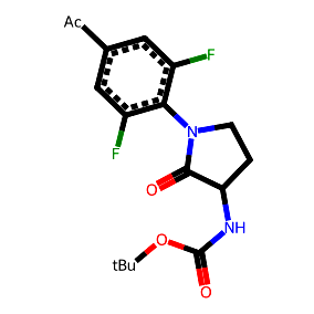 CC(=O)c1cc(F)c(N2CCC(NC(=O)OC(C)(C)C)C2=O)c(F)c1